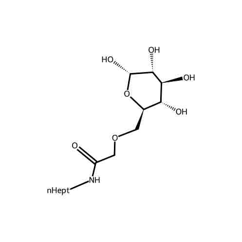 CCCCCCCNC(=O)COC[C@H]1O[C@H](O)[C@H](O)[C@@H](O)[C@@H]1O